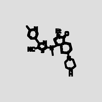 CCn1cc(N(C)c2nc(-c3ccc(C)nc3)c(C#N)s2)c2cc(N3CCNCC3)ccc2c1=O